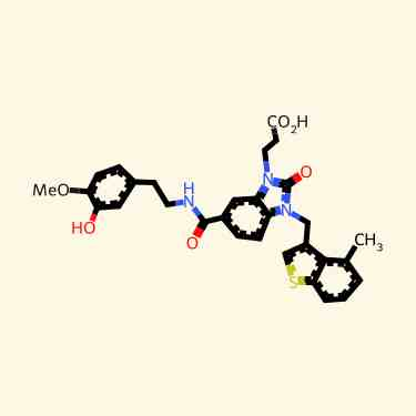 COc1ccc(CCNC(=O)c2ccc3c(c2)n(CCC(=O)O)c(=O)n3Cc2csc3cccc(C)c23)cc1O